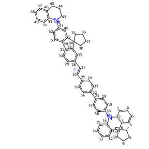 C1=CC2C(C=C1)[Si]1(CCCC1)c1ccccc1N2c1ccc(-c2ccc(/C=C/c3ccc4c(c3)C3(CCCC3)c3cc(N5CCCc6ccccc65)ccc3-4)cc2)cc1